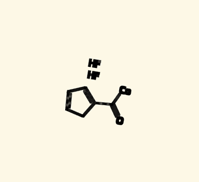 F.F.O=[C]([Co])C1=CC=CC1